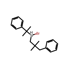 CC(C)(Cc1ccccc1)C[SiH](Br)C(C)(C)c1ccccc1